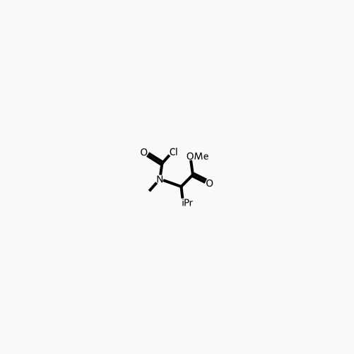 COC(=O)C(C(C)C)N(C)C(=O)Cl